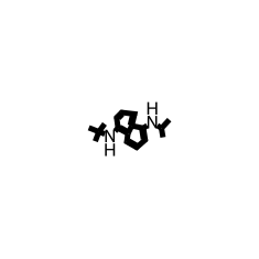 CC(C)Nc1cccc2c(NC(C)(C)C)cccc12